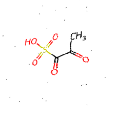 CC(=O)C(=O)S(=O)(=O)O